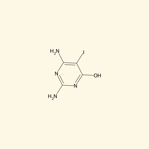 Nc1nc(N)c(I)c(O)n1